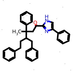 CC(CC(=O)c1nc(-c2ccccc2)c[nH]1)([C](CCc1ccccc1)Cc1ccccc1)c1ccccc1